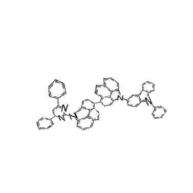 c1ccc(-c2cc(-c3ccccc3)nc(-n3c4cccc5ccc6c(-c7ccc8c9c7ccc7cccc(c79)n8-c7ccc8c(c7)c7ccccc7n8-c7ccccc7)ccc3c6c54)n2)cc1